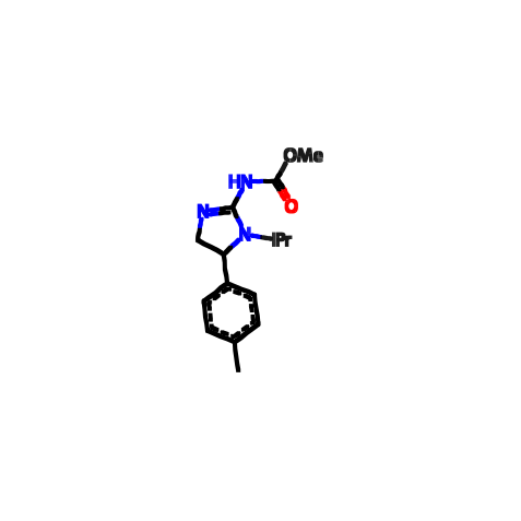 COC(=O)NC1=NCC(c2ccc(C)cc2)N1C(C)C